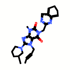 CC#CCn1c(N2CCCC(C)C2)nc2c1c(=O)n(Cc1ncc3c(n1)=CCCC=3)c(=O)n2C